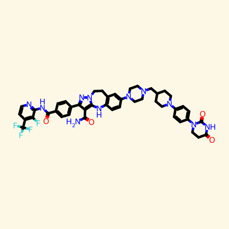 NC(=O)c1c(-c2ccc(C(=O)Nc3nccc(C(F)(F)F)c3F)cc2)nn2c1Nc1ccc(N3CCN(CC4CCN(c5ccc(N6CCC(=O)NC6=O)cc5)CC4)CC3)cc1CC2